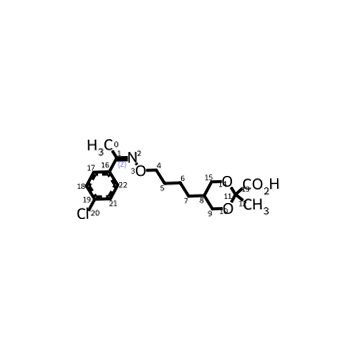 C/C(=N/OCCCCC1COC(C)(C(=O)O)OC1)c1ccc(Cl)cc1